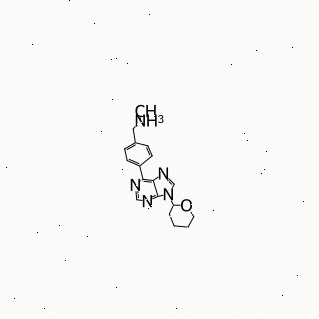 CNCc1ccc(-c2ncnc3c2ncn3C2CCCCO2)cc1